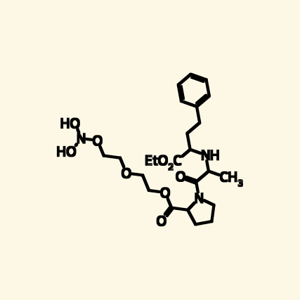 CCOC(=O)C(CCc1ccccc1)NC(C)C(=O)N1CCCC1C(=O)OCCOCCON(O)O